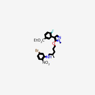 CCOC(=O)c1ccc(F)c(-c2cnn(C)c2OCCC[C@@H](C)CNc2cc(Br)ccc2[N+](=O)[O-])c1